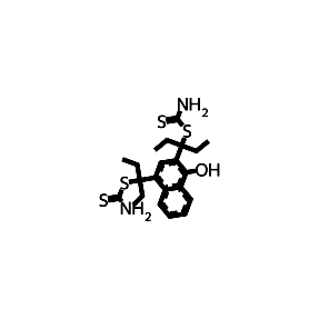 CCC(CC)(SC(N)=S)c1cc(C(CC)(CC)SC(N)=S)c2ccccc2c1O